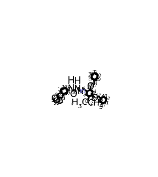 CC(C)c1cc(/C=N/NC(=O)Nc2ccc3c(c2)CC2(C3)OCCO2)c(OCc2ccccc2)cc1OCc1ccccc1